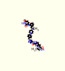 C[C@@H]1CNC(=O)c2cc3ccc(C(=O)Nc4cnn(Cc5ccc(N6CCC(N(C)Cc7ccccc7NC7CCC(=O)NC7=O)CC6)cc5)c4)nc3n21